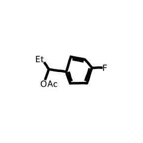 CCC(OC(C)=O)c1ccc(F)cc1